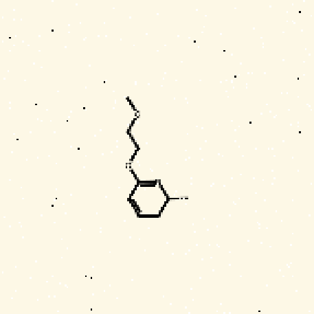 COCCOC1=NC(C)CC=C1